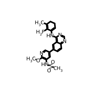 COc1ncc(-c2ccc3ncnc(NC4=CCCC(C)=C4P)c3c2)cc1NS(C)(=O)=O